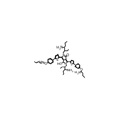 CCCCNOc1ccc(-c2ccc(C3=C4C(=C(c5ccc(-c6ccc(OC(N)CCC)cc6)s5)N(CC(CC)C(N)CCC)C4O)C(=O)N3CC(CC)C(N)CCC)s2)cc1